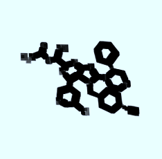 C#C[C@H]1CC[C@H](Cn2c(N3CCOC[C@H]3c3ccccc3)nc3nc(C(=N)OC(N)=O)nc(-c4cncc(Cl)c4)c32)CC1